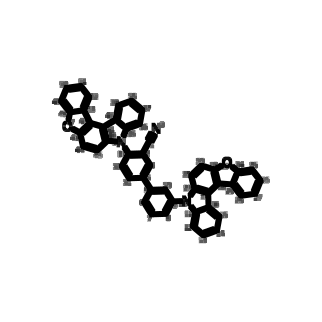 N#Cc1cc(-c2cccc(-n3c4ccccc4c4c5c(ccc43)oc3ccccc35)c2)ccc1-n1c2ccccc2c2c3c(ccc21)oc1ccccc13